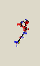 CC[C@H]1OC(=O)[C@H](C)[C@@H](O[C@H]2C[C@@](C)(OC)[C@@H](OC(=O)CCNCCCCCNC(=O)CCCCC3SCC4NC(=O)NC43)[C@H](C)O2)[C@H](C)[C@@H](O[C@@H]2O[C@H](C)C[C@H](N(C)C)[C@H]2O)[C@](C)(O)C[C@@H](C)CN(C)[C@H](C)[C@@H](O)[C@]1(C)O